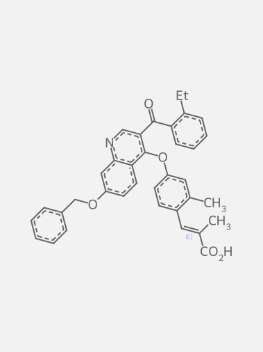 CCc1ccccc1C(=O)c1cnc2cc(OCc3ccccc3)ccc2c1Oc1ccc(/C=C(\C)C(=O)O)c(C)c1